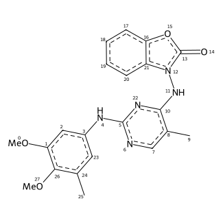 COc1cc(Nc2ncc(C)c(Nn3c(=O)oc4ccccc43)n2)cc(C)c1OC